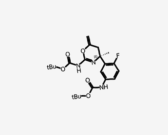 C=C1C[C@@](C)(c2cc(NC(=O)OC(C)(C)C)ccc2F)N=C(NC(=O)OC(C)(C)C)O1